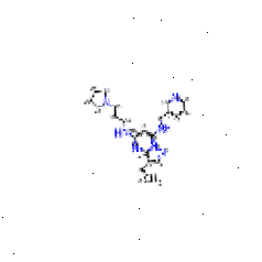 C=Cc1cnn2c(NCc3cccnc3)cc(NCCCN3CCCC3)nc12